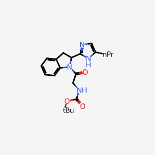 CCCc1cnc(C2Cc3ccccc3N2C(=O)CNC(=O)OC(C)(C)C)[nH]1